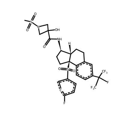 CS(=O)(=O)N1CC(O)(C(=O)N[C@@H]2CC[C@@]3(S(=O)(=O)c4ccc(F)cc4)c4ccc(C(F)(C(F)(F)F)C(F)(F)F)cc4CC[C@@H]23)C1